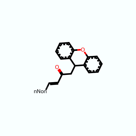 CCCCCCCCCC=CC(=O)CC1c2ccccc2Oc2ccccc21